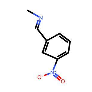 CN=Cc1cccc([N+](=O)[O-])c1